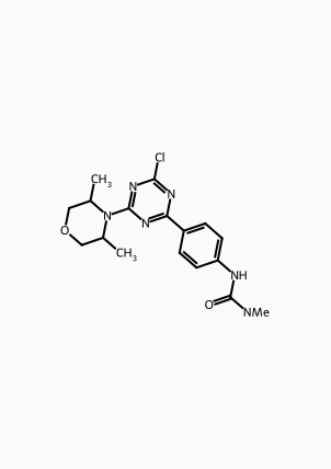 CNC(=O)Nc1ccc(-c2nc(Cl)nc(N3C(C)COCC3C)n2)cc1